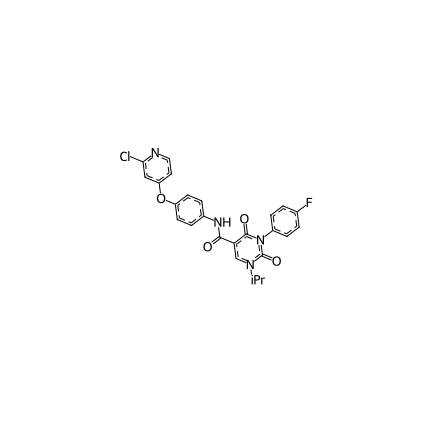 CC(C)n1cc(C(=O)Nc2ccc(Oc3ccnc(Cl)c3)cc2)c(=O)n(-c2ccc(F)cc2)c1=O